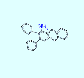 Nc1c(-c2ccccc2)c(-c2ccccc2)cc2cc3ccccc3cc12